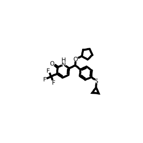 O=c1[nH]c(C(OC2CCCC2)c2ccc(SC3CC3)cc2)ccc1C(F)(F)F